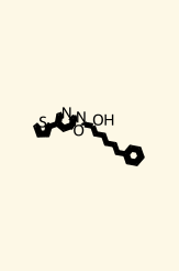 OC(CCCCCc1ccccc1)c1nc2ncc(-c3cccs3)cc2o1